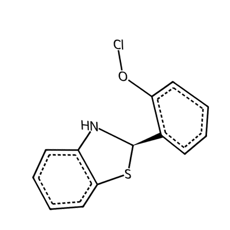 ClOc1ccccc1[C@@H]1Nc2ccccc2S1